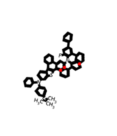 C[Si](C)(C)c1ccc(N(c2ccccc2)c2ccc3c(c2)sc2c4ccc(N(c5ccccc5-c5ccccc5)c5c(F)cc(-c6ccccc6)cc5-c5ccccc5)cc4c4ccccc4c32)cc1